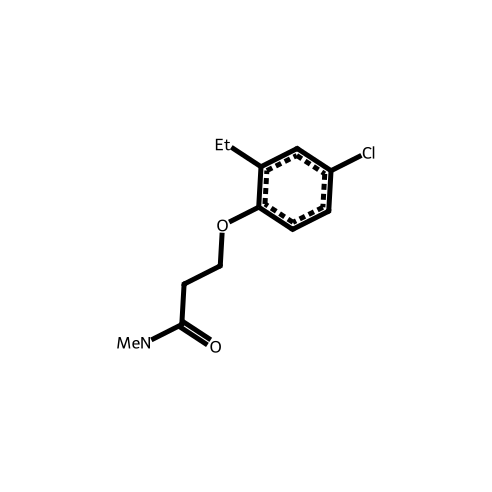 CCc1cc(Cl)ccc1OCCC(=O)NC